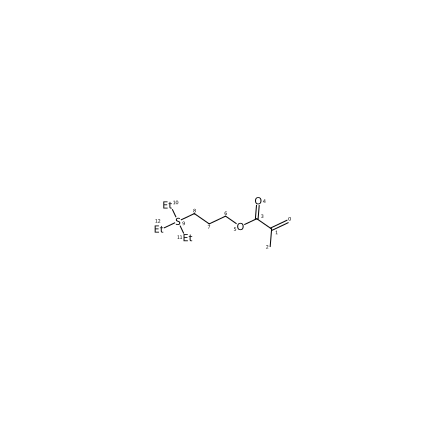 C=C(C)C(=O)OCCCS(CC)(CC)CC